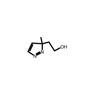 CC1(CCO)C=CN=N1